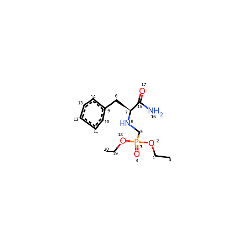 CCOP(=O)(CN[C@@H](Cc1ccccc1)C(N)=O)OCC